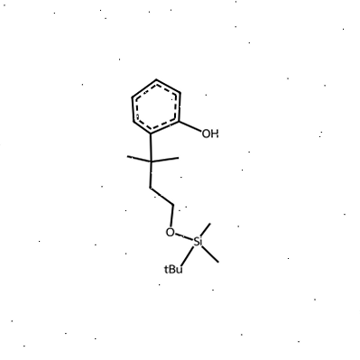 CC(C)(CCO[Si](C)(C)C(C)(C)C)c1ccccc1O